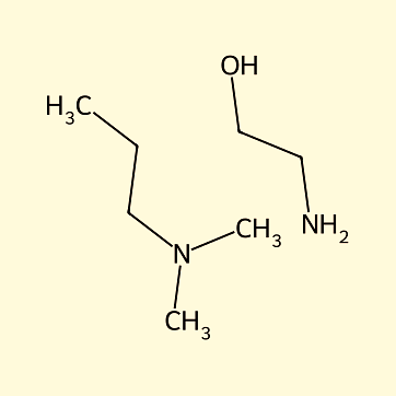 CCCN(C)C.NCCO